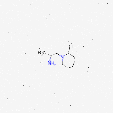 CCC1CCCCN1CC(C)N